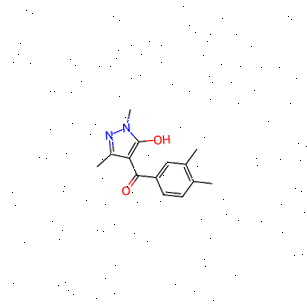 Cc1ccc(C(=O)c2c(C)nn(C)c2O)cc1C